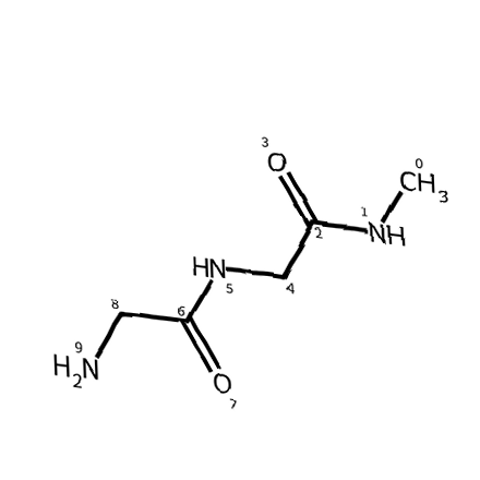 CNC(=O)CNC(=O)CN